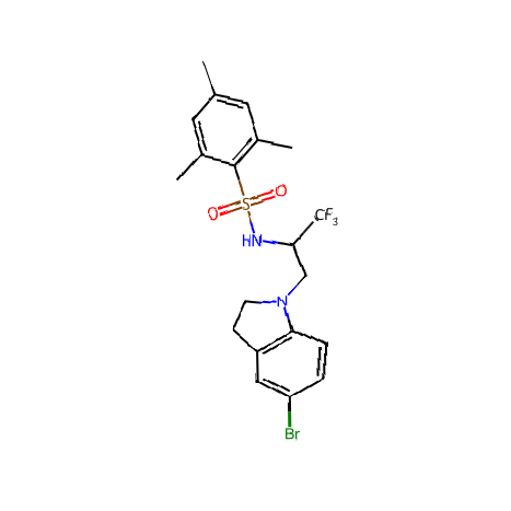 Cc1cc(C)c(S(=O)(=O)NC(CN2CCc3cc(Br)ccc32)C(F)(F)F)c(C)c1